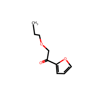 CCCOCC(=O)c1ccco1